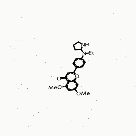 CCN(c1ccc(-c2cc(=O)c3c(OC)cc(OC)cc3o2)cc1)C1CCCN1